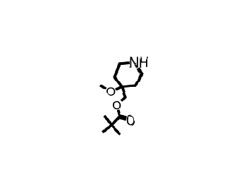 COC1(COC(=O)C(C)(C)C)CCNCC1